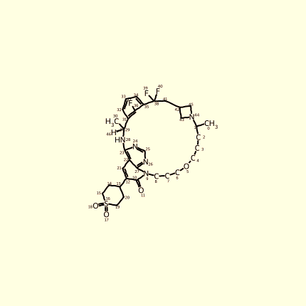 CC1CCCOCCCn2c(=O)c(C3CCS(=O)(=O)CC3)cc3c(ncnc32)N[C@H](C)c2cccc(c2F)C(F)(F)CC2CN1C2